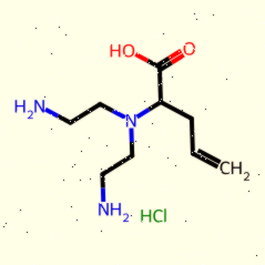 C=CCC(C(=O)O)N(CCN)CCN.Cl